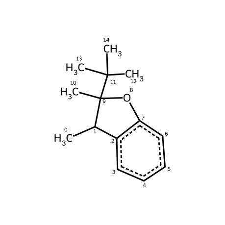 CC1c2ccccc2OC1(C)C(C)(C)C